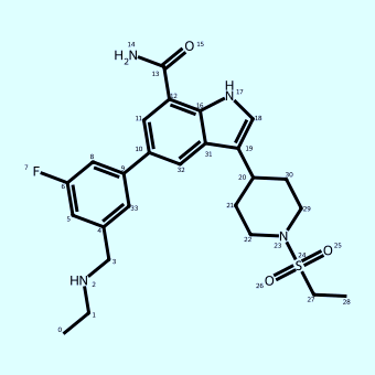 CCNCc1cc(F)cc(-c2cc(C(N)=O)c3[nH]cc(C4CCN(S(=O)(=O)CC)CC4)c3c2)c1